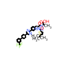 C[C@@H](NC(=O)[C@H](Cc1ccc(-c2ncc(C3C=CC(c4cccc(C(F)(F)F)c4)=CC3)cn2)cc1)NC(=O)c1ccc(C(C)(C)C)s1)C(=O)O